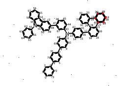 c1ccc(-c2ccc(-c3ccc(N(c4ccc(-c5cccc(-c6ccccc6)c5-c5ccccc5-c5ccccc5)cc4)c4cccc(-c5ccc6c(c5)c5ccccc5n6-c5ccccc5)c4)cc3)cc2)cc1